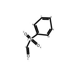 O=[C]S(=O)(=O)c1ccccc1